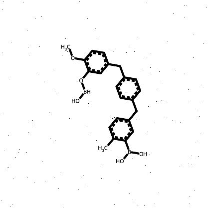 COc1ccc(Cc2ccc(Cc3ccc(C)c(B(O)O)c3)cc2)cc1OBO